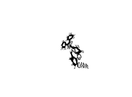 COc1cccc(CN2C(=O)CCC2c2nc(-c3ccccc3)c(-c3ccccc3)o2)c1